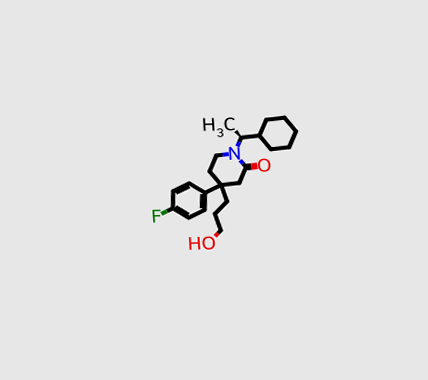 C[C@@H](C1CCCCC1)N1CCC(CCCO)(c2ccc(F)cc2)CC1=O